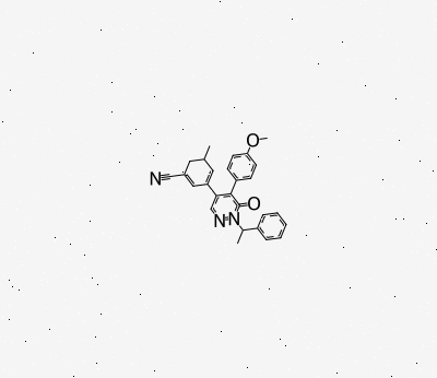 COc1ccc(-c2c(C3=CC(C)CC(C#N)=C3)cnn(C(C)c3ccccc3)c2=O)cc1